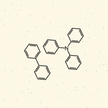 c1ccc(-c2ccccc2)cc1.c1ccc(N(c2ccccc2)c2ccccc2)cc1